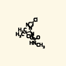 CNC(=O)ON=C(n1cc(Cl)cn1)C(C)(C)C